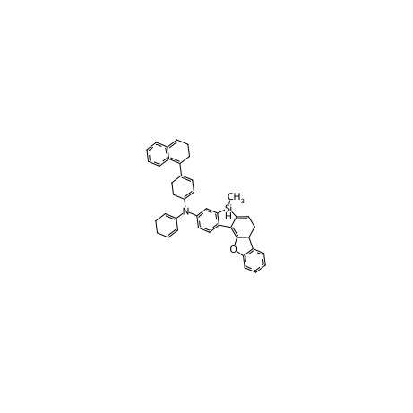 C[SiH]1C2=CCC3C(=C2c2ccc(N(C4=CCCC=C4)C4=CC=C(C5=c6ccccc6=CCC5)CC4)cc21)Oc1ccccc13